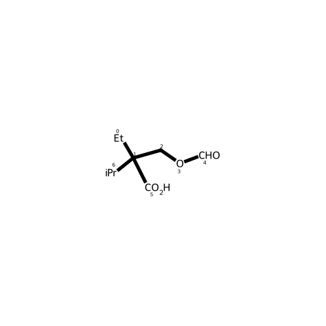 CCC(COC=O)(C(=O)O)C(C)C